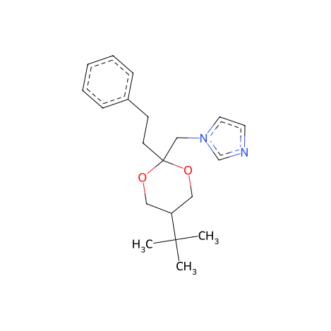 CC(C)(C)C1COC(CCc2ccccc2)(Cn2ccnc2)OC1